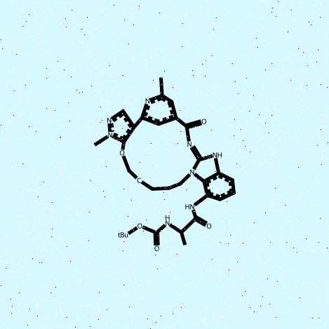 Cc1cc2cc(n1)-c1cnn(C)c1OCCCCCN1/C(=N/C2=O)Nc2cccc(NC(=O)C(C)NC(=O)OC(C)(C)C)c21